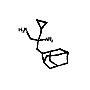 NCC(N)(CC1C2CC3CC(C2)CC1C3)C1CC1